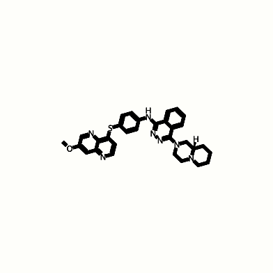 COc1cnc2c(Sc3ccc(Nc4nnc(N5CCN6CCCC[C@H]6C5)c5ccccc45)cc3)ccnc2c1